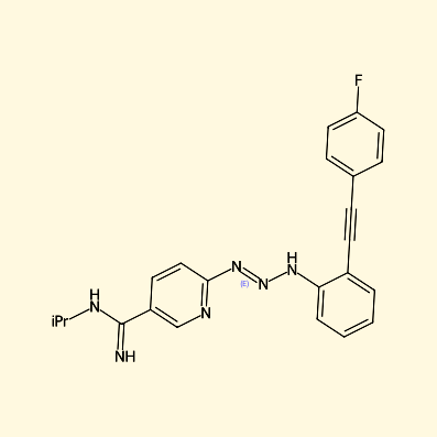 CC(C)NC(=N)c1ccc(/N=N/Nc2ccccc2C#Cc2ccc(F)cc2)nc1